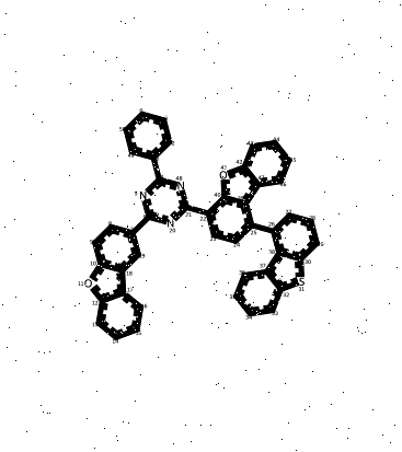 c1ccc(-c2nc(-c3ccc4oc5ccccc5c4c3)nc(-c3ccc(-c4cccc5sc6ccccc6c45)c4c3oc3ccccc34)n2)cc1